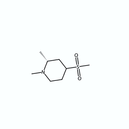 C[C@@H]1CC(S(C)(=O)=O)CCN1C